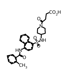 Cc1ccccc1C(=O)Nc1ccc(S(=O)(=O)NC2CCN(C(=O)CCC(=O)O)CC2)c2ccccc12